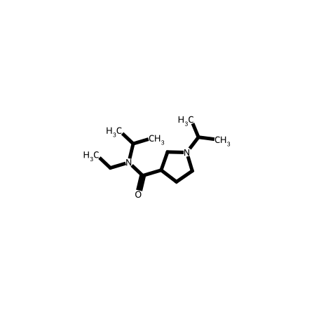 CCN(C(=O)C1CCN(C(C)C)C1)C(C)C